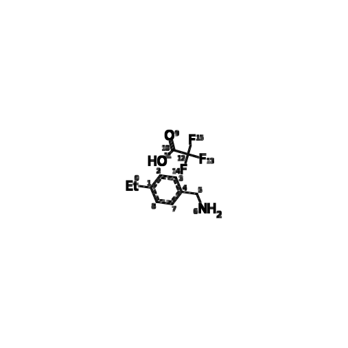 CCc1ccc(CN)cc1.O=C(O)C(F)(F)F